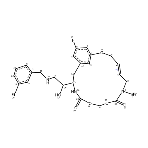 CCCN1C/C=C/COc2cc(F)cc(c2)CC(C(O)CNCc2cccc(CC)c2)NC(=O)CCCC1=O